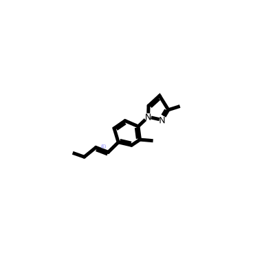 CC/C=C/c1ccc(-n2ccc(C)n2)c(C)c1